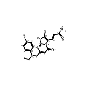 CCN(Cc1cc(=O)n2c(/C=C/C(N)=O)c(C)sc2n1)c1ccc(F)cc1